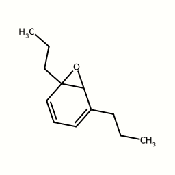 CCCC1=CC=CC2(CCC)OC12